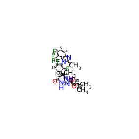 Cc1nc2ccc(F)c(C(F)(F)F)c2n1-c1cccc([C@]2(C)CC(=O)N/C(=N/C(=O)OC(C)(C)C)N2)c1F